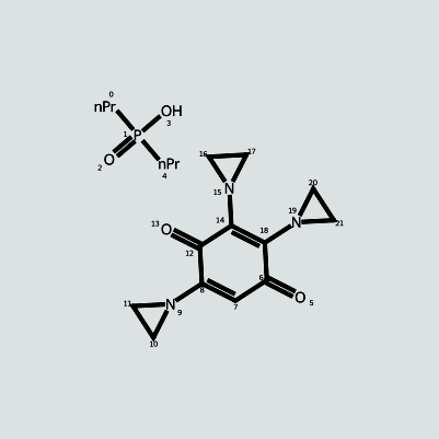 CCCP(=O)(O)CCC.O=C1C=C(N2CC2)C(=O)C(N2CC2)=C1N1CC1